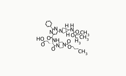 CCCCOC(=O)N1CCN(C(=O)[C@H](CCC(=O)O)NC(=O)c2cc(N3C[C@@H]4[C@H](C3)[C@@H]4NC(=O)OC(C)(C)C)nc(-c3ccccc3)n2)CC1